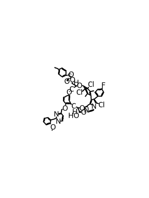 COc1ccccc1-c1nccc(COc2ccc3cc2C[C@H](C(=O)O)Oc2nccn4c(Cl)c(-c5ccc(F)cc5)c(c24)-c2c(C)c(Cl)c(c(Cl)c2C)O[C@H](COS(=O)(=O)c2ccc(C)cc2)CO3)n1